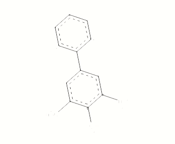 CCCCc1cc(-c2ccccc2)cc(CCC)c1O